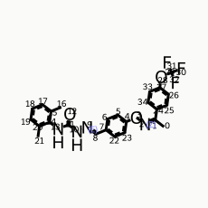 C/C(=N/Oc1ccc(/C=N/NC(=O)Nc2c(C)cccc2C)cc1)c1ccc(OC(F)(F)F)cc1